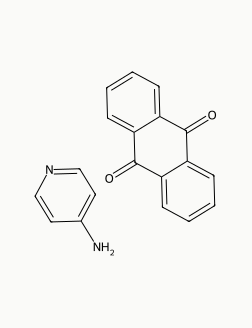 Nc1ccncc1.O=C1c2ccccc2C(=O)c2ccccc21